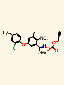 C#CCOC(=O)ON=C(OC)c1cc(Oc2ccc(C(F)(F)F)cc2Cl)cc(C)c1[N+](=O)[O-]